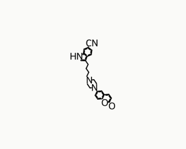 N#Cc1ccc2c(CCCCN3CCN(c4ccc5oc(=O)ccc5c4)CC3)c[nH]c2c1